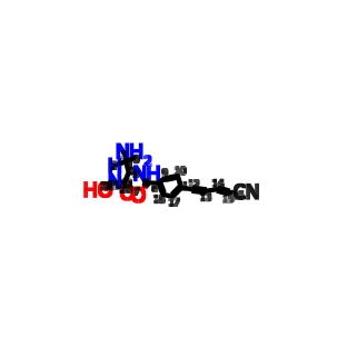 CC(C)(N)[C@H](NC(=O)c1ccc(C#CC#CC#N)cc1)C(=O)NO